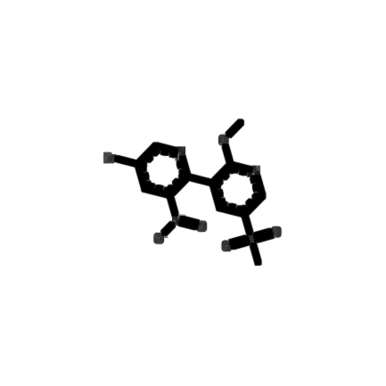 COc1ncc(S(C)(=O)=O)cc1-c1ncc(Br)cc1[N+](=O)[O-]